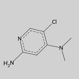 CN(C)c1cc(N)ncc1Cl